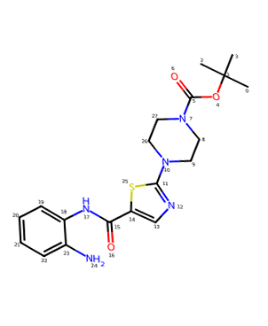 CC(C)(C)OC(=O)N1CCN(c2ncc(C(=O)Nc3ccccc3N)s2)CC1